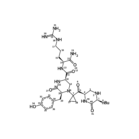 CCCC[C@@H]1NC[C@H](C(=O)C2(N3C[C@H](C(=O)N[C@@H](CCCNC(=N)N)C(N)=O)NC(=O)[C@@H]3Cc3ccc(O)cc3)CC2)NC1=O